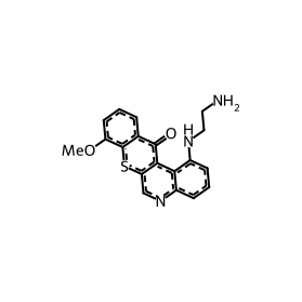 COc1cccc2c(=O)c3c(cnc4cccc(NCCN)c43)sc12